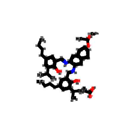 CC(=O)[O-].CC(=O)[O-].CCCCc1cc(C=Nc2cc3ccccc3cc2N=Cc2cc(CCCC)cc(C(C)C)c2O)c(O)c(C(C)C)c1.[Co+2]